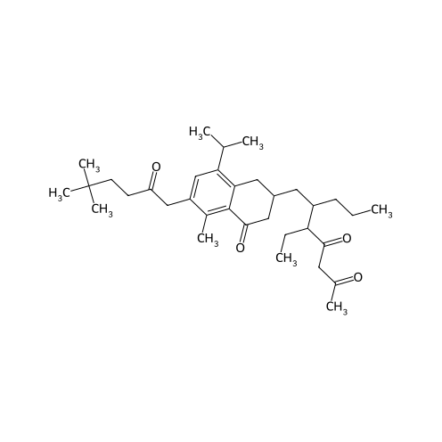 CCCC(CC1CC(=O)c2c(C)c(CC(=O)CCC(C)(C)C)cc(C(C)C)c2C1)C(CC)C(=O)CC(C)=O